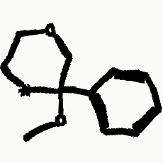 COC1(c2ccccc2)COCC[N]1